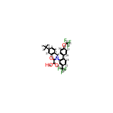 CC(C)(C)c1ccc(CN(C(=O)C(=O)O)c2cc(C(F)(F)F)ccc2-c2ccc(OC(F)(F)F)cc2)cc1